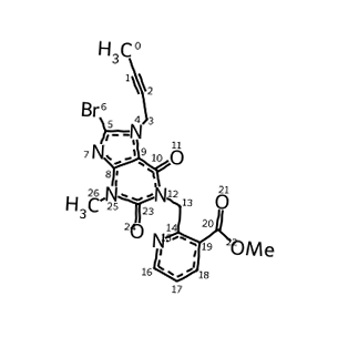 CC#CCn1c(Br)nc2c1c(=O)n(Cc1ncccc1C(=O)OC)c(=O)n2C